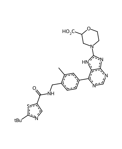 Cc1cc(-c2ncnc3nc(N4CCOC(C(=O)O)C4)[nH]c23)ccc1CNC(=O)c1cnc(C(C)(C)C)s1